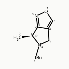 C[C@H]1c2nocc2CN1C(C)(C)C